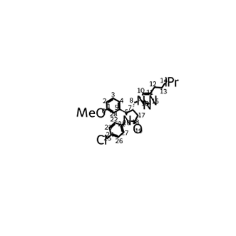 COc1cccc([C@H]2[C@H](Cn3cc(CCC(C)C)nn3)CC(=O)N2c2ccc(Cl)cc2)c1